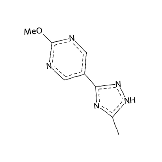 COc1ncc(-c2n[nH]c(C)n2)cn1